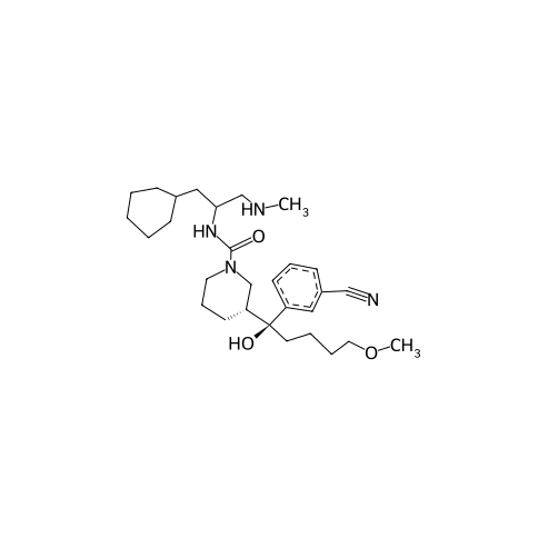 CNCC(CC1CCCCC1)NC(=O)N1CCC[C@@H]([C@@](O)(CCCCOC)c2cccc(C#N)c2)C1